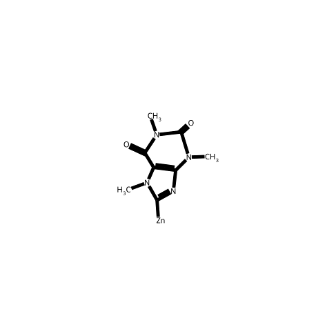 Cn1c(=O)c2c(n[c]([Zn])n2C)n(C)c1=O